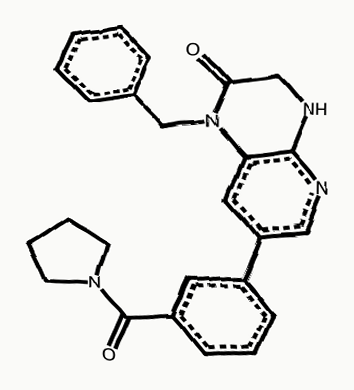 O=C(c1cccc(-c2cnc3c(c2)N(Cc2ccccc2)C(=O)CN3)c1)N1CCCC1